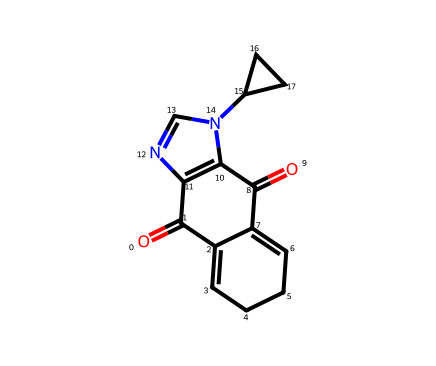 O=C1C2=CCCC=C2C(=O)c2c1ncn2C1CC1